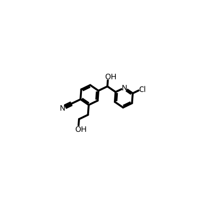 N#Cc1ccc(C(O)c2cccc(Cl)n2)cc1CCO